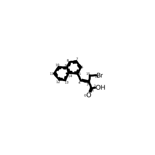 O=C(O)/C(=C/c1cccc2ccccc12)CBr